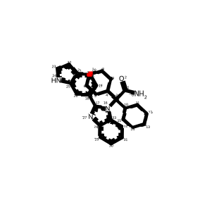 NC(=O)C(C1CCCCC1)(C1CCCCC1)n1c(-c2ccc3cc[nH]c3c2)nc2ccccc21